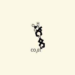 CCOC(=O)N1CCC2(CC(N3CCC4(CC3)OC(=O)NC4(C)C)C2)C1